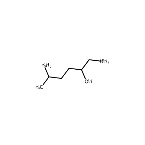 N#CC(N)CCC(O)CN